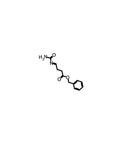 NC(=O)N=CCCC(=O)OCc1ccccc1